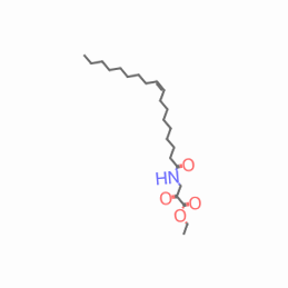 CCCCCCCC/C=C\CCCCCCCC(=O)NCC(=O)C(=O)OCC